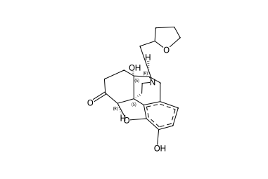 O=C1CC[C@@]2(O)[C@H]3Cc4ccc(O)c5c4[C@@]2(CCN3CC2CCCO2)[C@H]1O5